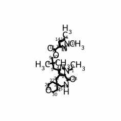 CCn1nc(CC(C)(C)COC(=O)c2cc(C)n(C)n2)c2c1C(=O)NCC1(CCOCC1)C2